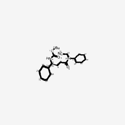 CC(C)(C)OC(=O)N[C@@H](CCC(=O)N(CC#N)C1CCCCC1)C1CCCCC1